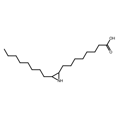 CCCCCCCCC1NC1CCCCCCCC(=O)O